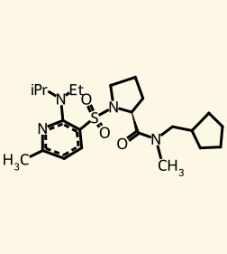 CCN(c1nc(C)ccc1S(=O)(=O)N1CCC[C@H]1C(=O)N(C)CC1CCCC1)C(C)C